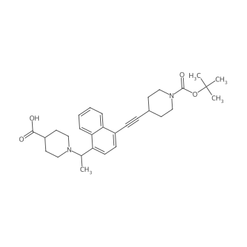 CC(c1ccc(C#CC2CCN(C(=O)OC(C)(C)C)CC2)c2ccccc12)N1CCC(C(=O)O)CC1